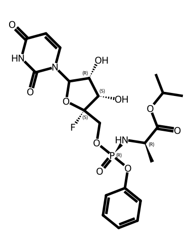 CC(C)OC(=O)[C@@H](C)N[P@@](=O)(OC[C@@]1(F)OC(n2ccc(=O)[nH]c2=O)[C@H](O)[C@@H]1O)Oc1ccccc1